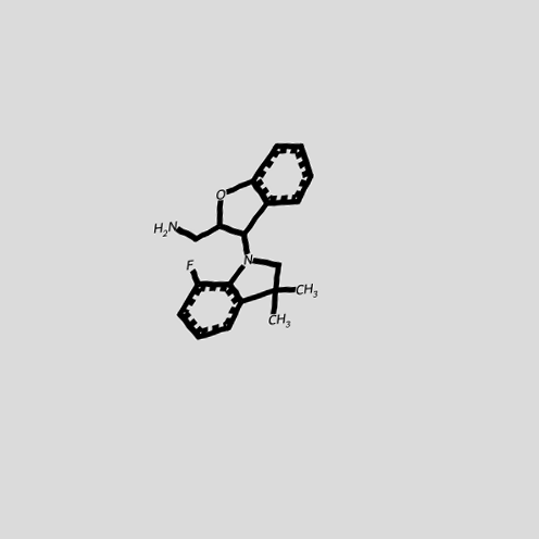 CC1(C)CN(C2c3ccccc3OC2CN)c2c(F)cccc21